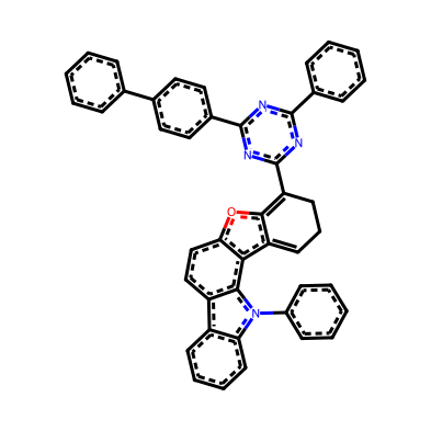 C1=c2c(oc3ccc4c5ccccc5n(-c5ccccc5)c4c23)=C(c2nc(-c3ccccc3)nc(-c3ccc(-c4ccccc4)cc3)n2)CC1